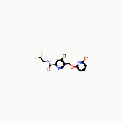 O=C(NCC(F)F)c1cc(Cl)c(COc2cccc(Br)n2)cn1